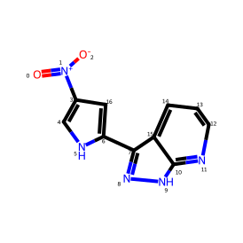 O=[N+]([O-])c1c[nH]c(-c2n[nH]c3ncccc23)c1